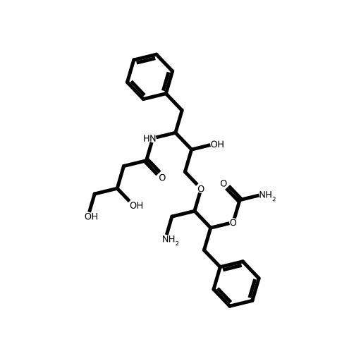 NCC(OCC(O)C(Cc1ccccc1)NC(=O)CC(O)CO)C(Cc1ccccc1)OC(N)=O